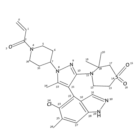 C=CC(=O)N1CCC(n2nc(N3CCS(=O)(=O)CC3(C)C)c(-c3c(Cl)c(C)cc4[nH]ncc34)c2C)CC1